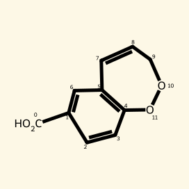 O=C(O)c1ccc2c(c1)C=CCOO2